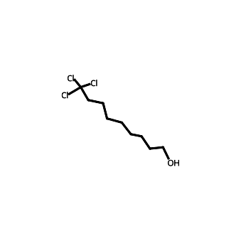 OCCCCCCCCC(Cl)(Cl)Cl